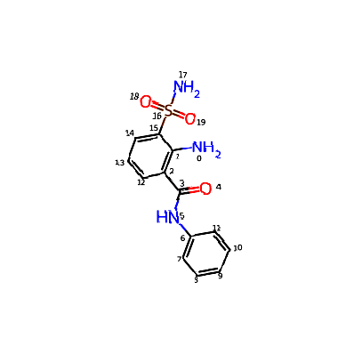 Nc1c(C(=O)Nc2ccccc2)cccc1S(N)(=O)=O